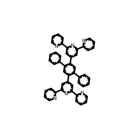 c1ccc(-c2cc(-c3cc(-c4ccccn4)nc(-c4ccccn4)c3)c(-c3ccccc3)cc2-c2cc(-c3ccccn3)nc(-c3ccccn3)c2)cc1